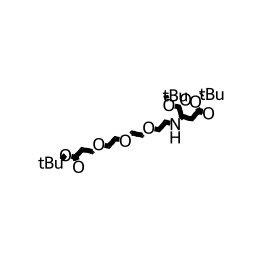 CC(C)(C)OC(=O)CCOCCOCCOCCNC(CC(=O)OC(C)(C)C)C(=O)OC(C)(C)C